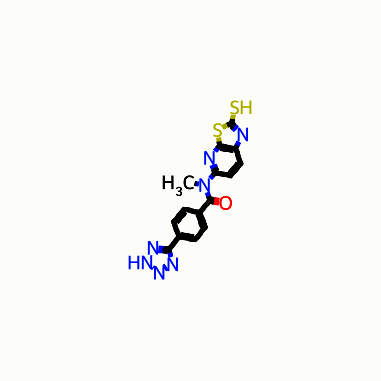 CN(C(=O)c1ccc(-c2nn[nH]n2)cc1)c1ccc2nc(S)sc2n1